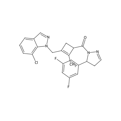 CC1=C(Cn2ncc3cccc(Cl)c32)CC1C(=O)N1N=CCC1c1cc(F)cc(F)c1